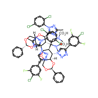 Cc1nc([C@H]2O[C@@H]3CO[C@H](c4ccccc4)O[C@@H]3[C@@H](n3cc(-c4cc(F)c(Cl)c(F)c4)nn3)[C@@H]2C(CN(C)C(=O)O)([C@@H]2[C@@H](n3cc(-c4cc(F)c(Cl)c(F)c4)nn3)[C@@H]3O[C@H](c4ccccc4)OC[C@@H]3O[C@H]2c2nc(C)nn2-c2cc(Cl)ccc2Cl)N(C)C(=O)O)n(-c2cc(Cl)ccc2Cl)n1